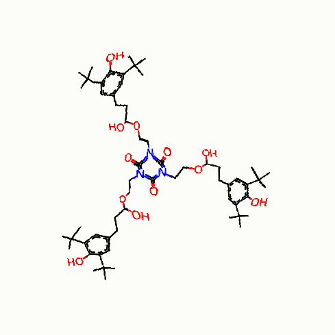 CC(C)(C)c1cc(CCC(O)OCCn2c(=O)n(CCOC(O)CCc3cc(C(C)(C)C)c(O)c(C(C)(C)C)c3)c(=O)n(CCOC(O)CCc3cc(C(C)(C)C)c(O)c(C(C)(C)C)c3)c2=O)cc(C(C)(C)C)c1O